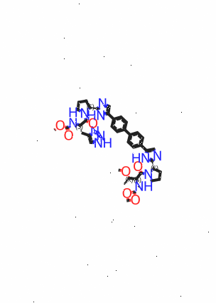 COC(=O)N[C@@H](Cc1c[nH]nn1)C(=O)N1CCC[C@H]1c1ncc(-c2ccc(-c3ccc(-c4cnc([C@@H]5CCCN5C(=O)[C@@H](NC5OCO5)[C@@H](C)OC)[nH]4)cc3)cc2)[nH]1